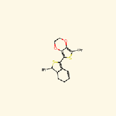 CC(C)c1sc(C2=C3C=CCCC3C(C(C)C)S2)c2c1OCCO2